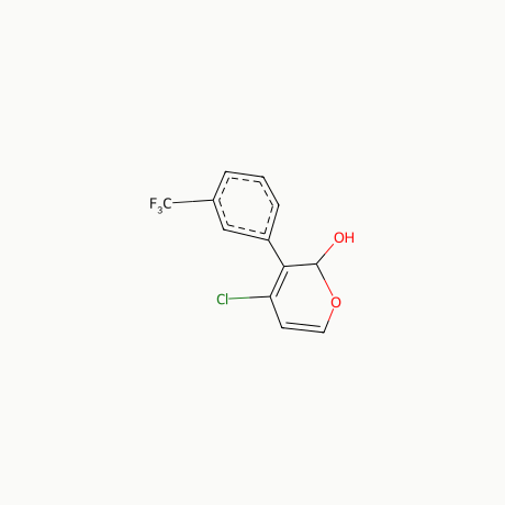 OC1OC=CC(Cl)=C1c1cccc(C(F)(F)F)c1